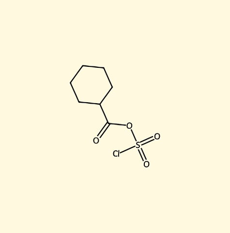 O=C(OS(=O)(=O)Cl)C1CCCCC1